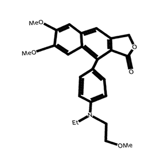 CCN(CCOC)c1ccc(-c2c3c(cc4cc(OC)c(OC)cc24)COC3=O)cc1